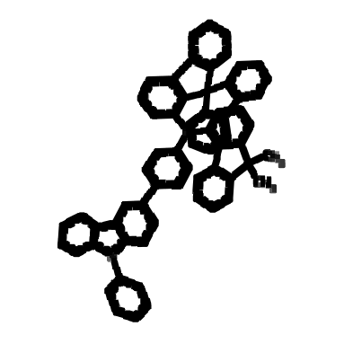 CC1(C)c2ccccc2-c2c(N(c3ccc(-c4ccc5c(c4)c4ccccc4n5-c4ccccc4)cc3)c3cccc4c3C3(c5ccccc5-c5ccccc53)c3ccccc3-4)cccc21